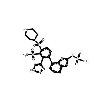 CS(=O)(=O)Nc1nc2c(-c3ccc(S(=O)(=O)C4CCNCC4)c(S(N)(=O)=O)c3-c3nn[nH]n3)cccc2s1